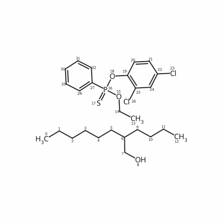 CCCCCCC(CO)CCCC.CCOP(=S)(Oc1ccc(Cl)cc1Cl)c1ccccc1